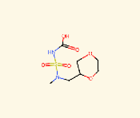 CN(CC1COCCO1)S(=O)(=O)NC(=O)O